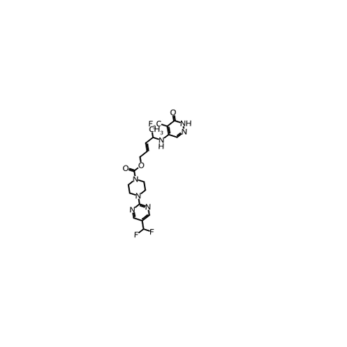 CC(/C=C/COC(=O)N1CCN(c2ncc(C(F)F)cn2)CC1)Nc1cn[nH]c(=O)c1C(F)(F)F